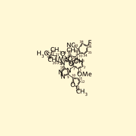 COc1cccc(OC)c1-n1c(-c2ccc(C)o2)nnc1N(CC[Si](C)(C)C)S(=O)(=O)[C@H](C)[C@@H](O)c1ccc(F)cc1C#N